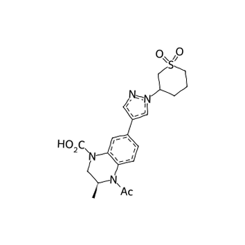 CC(=O)N1c2ccc(-c3cnn(C4CCCS(=O)(=O)C4)c3)cc2N(C(=O)O)C[C@@H]1C